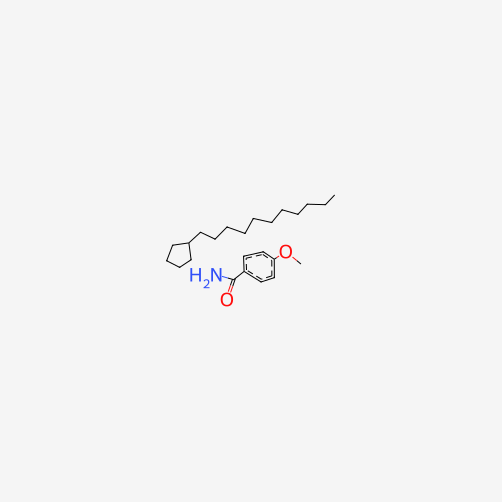 CCCCCCCCCCCC1CCCC1.COc1ccc(C(N)=O)cc1